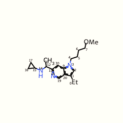 CCc1cn(CCCCOC)c2cc(C(C)NC3CC3)ncc12